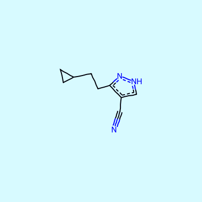 N#Cc1c[nH]nc1CCC1CC1